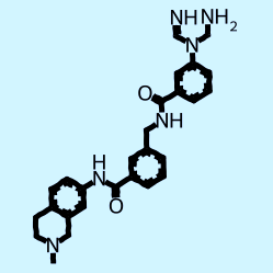 CN1CCc2ccc(NC(=O)c3cccc(CNC(=O)c4cccc(N(C=N)CN)c4)c3)cc2C1